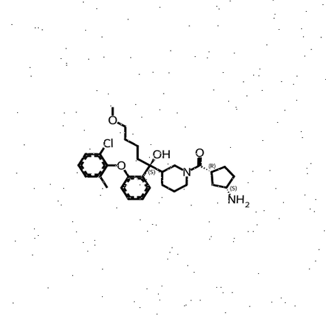 COCCCC[C@@](O)(c1ccccc1Oc1c(C)cccc1Cl)C1CCCN(C(=O)[C@@H]2CC[C@H](N)C2)C1